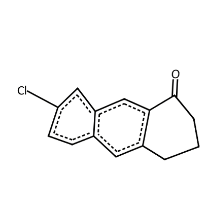 O=C1CCCc2cc3ccc(Cl)cc3cc21